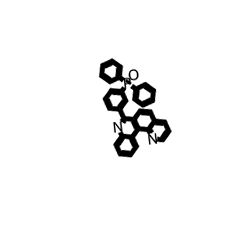 O=P(c1ccccc1)(c1ccccc1)c1cccc(-c2nc3ccccc3c3c2ccc2cccnc23)c1